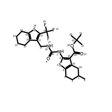 CC1CCc2sc(NC(=O)NCc3c(C(F)(F)F)sc4c3CCCC4)c(C(=O)OC(C)(C)C)c2C1